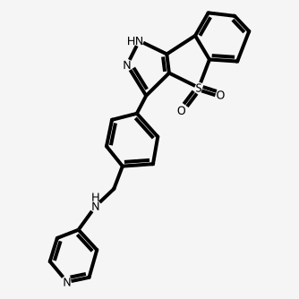 O=S1(=O)c2ccccc2-c2[nH]nc(-c3ccc(CNc4ccncc4)cc3)c21